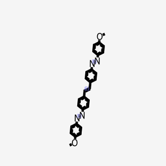 COc1ccc(/N=N/c2ccc(/C=C/c3ccc(/N=N/c4ccc(OC)cc4)cc3)cc2)cc1